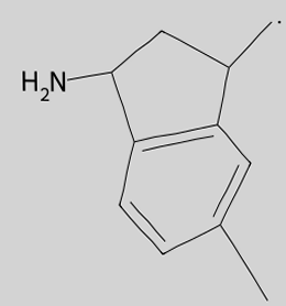 [CH2]C1CC(N)c2ccc(C)cc21